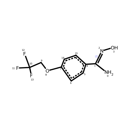 N/C(=N\O)c1ccc(OCC(F)(F)F)cc1